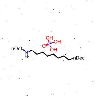 CCCCCCCCCCCCCCCCCCNCCCCCCCC.O=P(O)(O)O